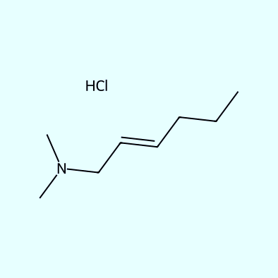 CCCC=CCN(C)C.Cl